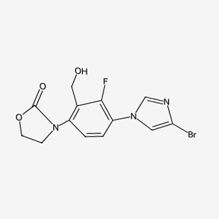 O=C1OCCN1c1ccc(-n2cnc(Br)c2)c(F)c1CO